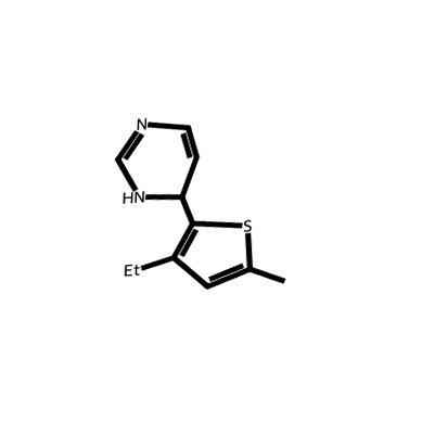 CCc1cc(C)sc1C1C=CN=CN1